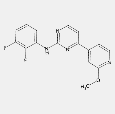 COc1cc(-c2ccnc(Nc3cccc(F)c3F)n2)ccn1